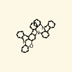 c1ccc(-n2c3ccccc3c3cccc(-n4c5ccccc5c5c6c7ccccc7n7c6c(cc54)Oc4ccccc4-7)c32)cc1